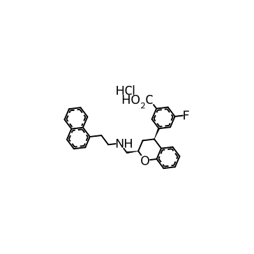 Cl.O=C(O)c1cc(F)cc([C@@H]2C[C@H](CNCCc3cccc4ccccc34)Oc3ccccc32)c1